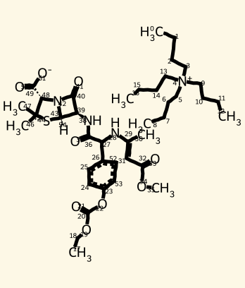 CCCC[N+](CCCC)(CCCC)CCCC.CCOC(=O)Oc1ccc(C(NC(C)=CC(=O)OC)C(=O)N[C@@H]2C(=O)N3[C@@H]2SC(C)(C)[C@@H]3C(=O)[O-])cc1